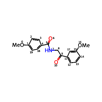 COc1ccc(C(=O)NCC(=O)c2cccc(OC)c2)cc1